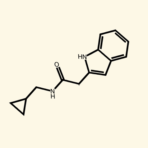 O=C([CH]c1cc2ccccc2[nH]1)NCC1CC1